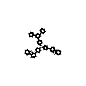 c1ccc(-c2cc(-c3ccccc3)cc(-c3ccc(N(c4ccc(-c5ccc6c(c5)sc5ccccc56)cc4)c4ccc(-c5cccc6c5sc5ccccc56)cc4)cc3)c2)cc1